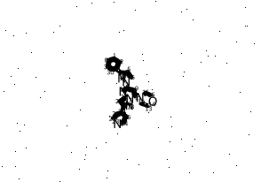 c1ccc(-c2ccn(-c3cc(N4CCOCC4)n4nc(-c5ccncc5)cc4n3)n2)cc1